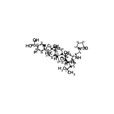 C=C(C)[C@@H]1CC[C@]2(NCCN3CCCC3=O)CC[C@]3(C)[C@H](CC[C@@H]4[C@@]5(C)CC=C(c6ccc(C(O)O)c(F)c6)C(C)(C)[C@@H]5CC[C@]43C)[C@@H]12